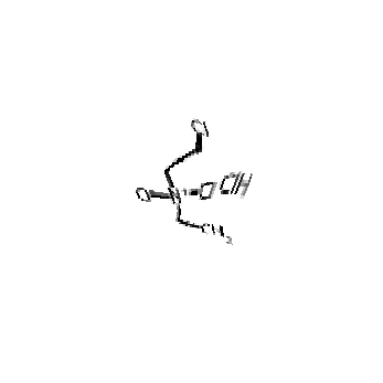 CC[N+]([O-])(Cl)CCCl.Cl